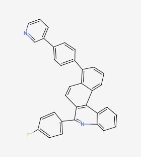 Fc1ccc(-c2nc3ccccc3c3c2ccc2c(-c4ccc(-c5cccnc5)cc4)cccc23)cc1